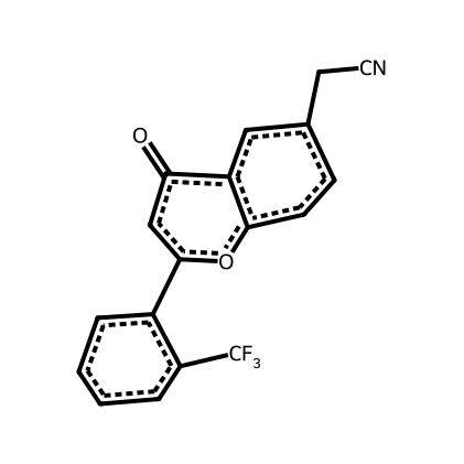 N#CCc1ccc2oc(-c3ccccc3C(F)(F)F)cc(=O)c2c1